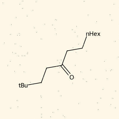 CCCCCCCCC(=O)CCC(C)(C)C